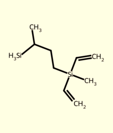 C=C[Si](C)(C=C)CCC(C)[SiH3]